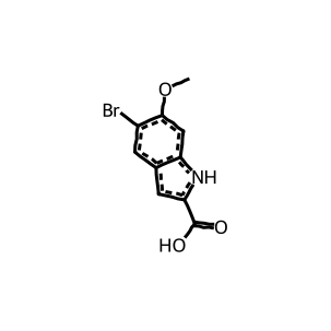 COc1cc2[nH]c(C(=O)O)cc2cc1Br